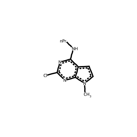 CCCNc1nc(Cl)nc2c1ccn2C